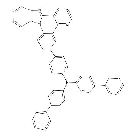 C1=CC2N=C3c4cccnc4-c4cc(-c5ccc(N(c6ccc(-c7ccccc7)cc6)c6ccc(-c7ccccc7)cc6)cc5)ccc4N3C2C=C1